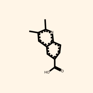 Cc1cc2cc(C(=O)O)ccc2nc1C